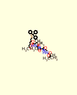 CC(=O)CC(/C=C/CCSC(c1ccccc1)(c1ccccc1)c1ccccc1)OC(=O)[C@@H](NC(=O)[C@]1(C)COC(c2coc(CNC(=O)OC(C)(C)C)n2)=N1)C(C)C